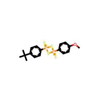 COc1ccc(P2(=S)SP(=S)(c3ccc(C(C)(C)C)cc3)S2)cc1